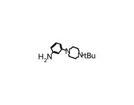 CC(C)(C)N1CCN(c2cccc(N)c2)CC1